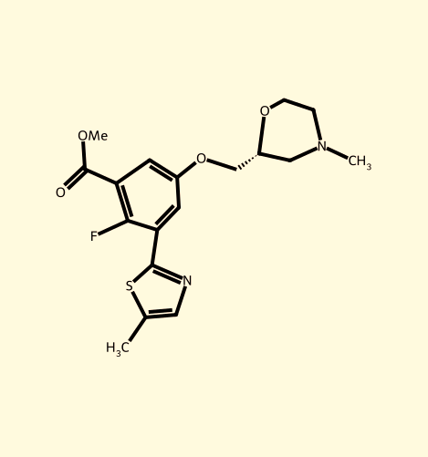 COC(=O)c1cc(OC[C@H]2CN(C)CCO2)cc(-c2ncc(C)s2)c1F